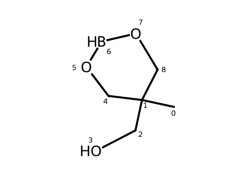 CC1(CO)COBOC1